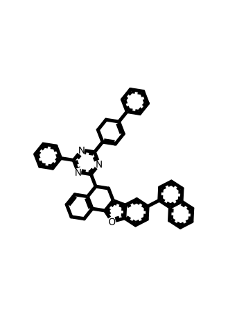 C1=CC2=C(CC1)c1oc3ccc(-c4cccc5ccccc45)cc3c1CC2c1nc(C2=CC=C(c3ccccc3)CC2)nc(-c2ccccc2)n1